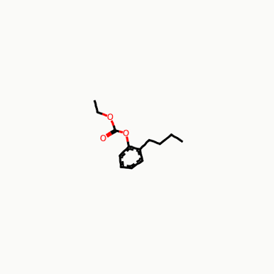 CCCCc1ccccc1OC(=O)OCC